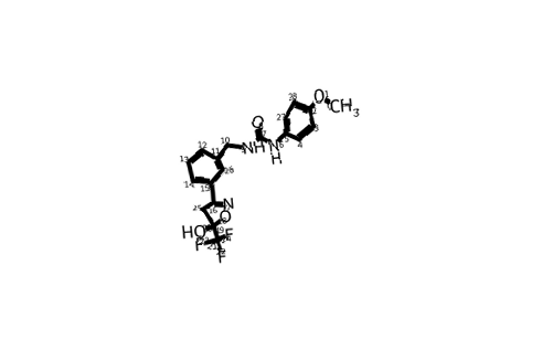 COc1ccc(NC(=O)NCc2cccc(C3=NOC(O)(C(F)(F)F)C3)c2)cc1